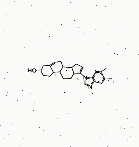 Cc1cc2ncn(C3=CCC4C5CC=C6C[C@@H](O)CC[C@]6(C)C5CC[C@]34C)c2cc1C